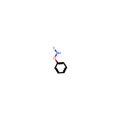 FNOc1ccccc1